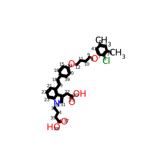 Cc1cc(C)c(Cl)c(OCCCCOc2ccc(C=Cc3cccc4c3c(CC(=O)O)cn4CCCC(=O)O)cc2)c1